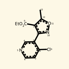 CCOC(=O)c1c(-c2cnccc2Cl)noc1C